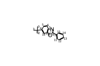 CC(C)(C)c1ccc2nc(-c3ccccc3)oc2c1